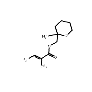 CC=C(C)C(=O)OCC1([SiH3])CCCCO1